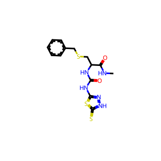 CNC(=O)C(CSCc1ccccc1)NC(=O)Nc1n[nH]c(=S)s1